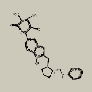 CCc1c(-c2ccc3c(c2)cc(CN2CCC[C@H]2CNc2ccccc2)n3C)[nH]c(=O)c(C(=O)O)c1O